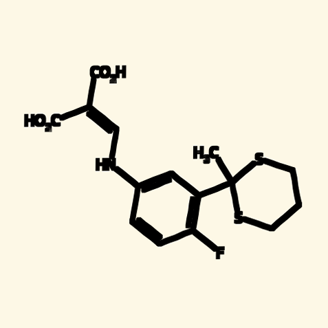 CC1(c2cc(NC=C(C(=O)O)C(=O)O)ccc2F)SCCCS1